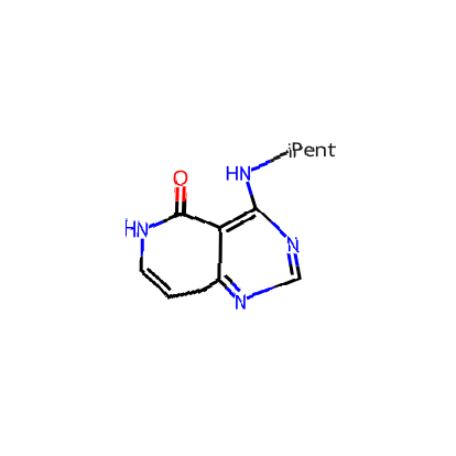 CCCC(C)Nc1ncnc2cc[nH]c(=O)c12